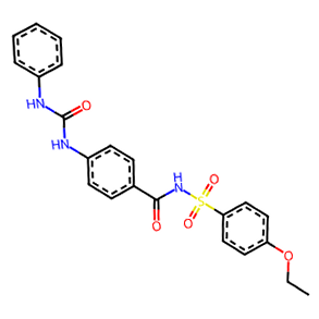 CCOc1ccc(S(=O)(=O)NC(=O)c2ccc(NC(=O)Nc3ccccc3)cc2)cc1